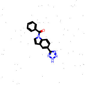 O=C(c1ccccc1)n1ccc2cc(-c3nn[nH]n3)ccc21